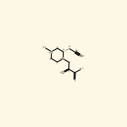 C=C(F)C(=O)CN1CCN(I)C[C@@H]1CC#N